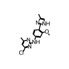 COc1cc(Nc2nc(C)cc(Cl)n2)ccc1-c1nc(C)c[nH]1